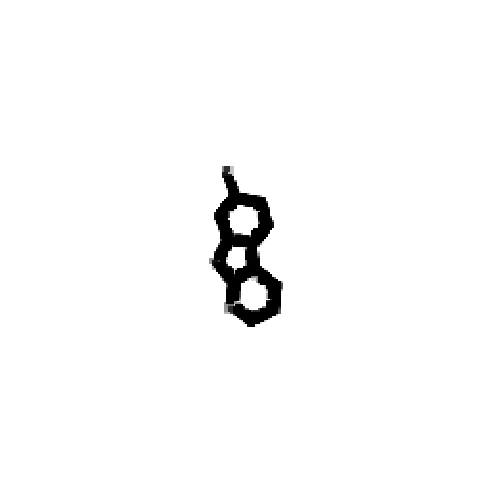 Clc1ccc2c(c1)sc1ncccc12